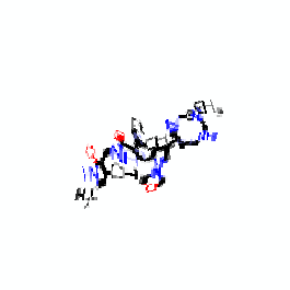 CC/C=C(C)/C(=C\c1cc(C2=C/C=C/NCCN(C)CC/N=C\2)cn1N1CCOCC1)C(=O)NCc1c(C)cc(C)[nH]c1=O